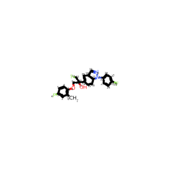 Cc1cc(F)ccc1OCC(O)(CF)c1ccc2c(cnn2-c2ccc(F)cc2)c1